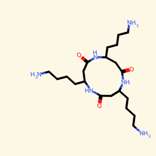 NCCCCC1CC(=O)NC(CCCCN)CC(=O)NC(CCCCN)CC(=O)N1